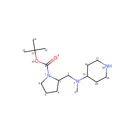 CN(CC1CCCN1C(=O)OC(C)(C)C)C1CCNCC1